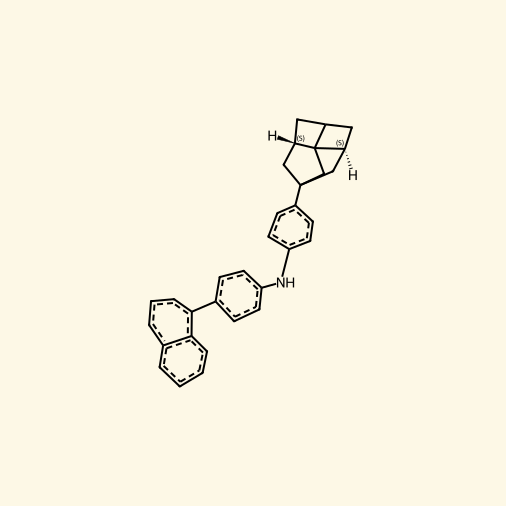 c1ccc2c(-c3ccc(Nc4ccc(C56C[C@@H]7CC8C[C@@H](C5)C87C6)cc4)cc3)cccc2c1